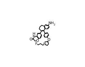 Nc1ccc2c(c1)CCCC(c1ccc3c(c1)NC(=O)CO3)=C2c1ccc(O[C@H]2CCN(CCCF)C2)cc1